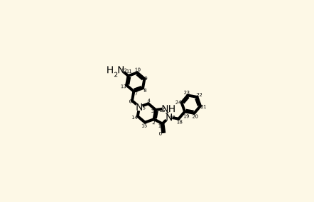 C=C1C2=C(CN(Cc3cccc(N)c3)CC2)NN1Cc1ccccc1